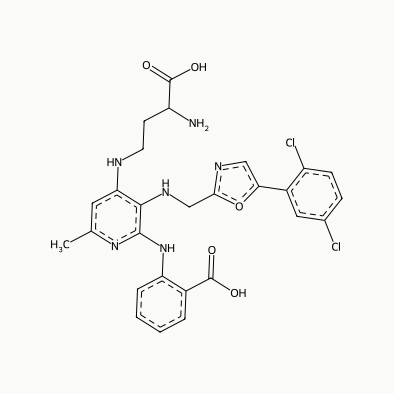 Cc1cc(NCCC(N)C(=O)O)c(NCc2ncc(-c3cc(Cl)ccc3Cl)o2)c(Nc2ccccc2C(=O)O)n1